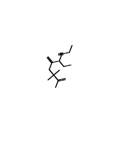 C=C(CC(C)(C)C(=C)C)C(CC)NCC